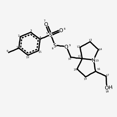 Cc1ccc(S(=O)(=O)SOCC23CCCN2C(CO)CC3)cc1